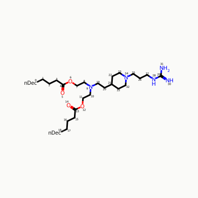 CCCCCCCCCCCCCC(=O)OCCN(CCOC(=O)CCCCCCCCCCCCC)CCC1CCN(CCCNC(=N)N)CC1